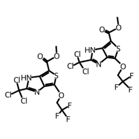 COC(=O)c1sc(OCC(F)(F)F)c2nc(C(Cl)(Cl)Cl)[nH]c12.COC(=O)c1sc(OCC(F)(F)F)c2nc(C(Cl)(Cl)Cl)[nH]c12